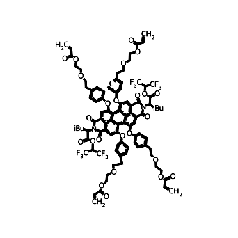 C=CC(=O)OCCOCCc1ccc(Oc2cc3c4c(cc(Oc5ccc(CCOCCOC(=O)C=C)cc5)c5c6c(Oc7ccc(CCOCCOC(=O)C=C)cc7)cc7c8c(cc(Oc9ccc(CCOCCOC(=O)C=C)cc9)c(c2c45)c86)C(=O)N(C(C(=O)OC(C(F)(F)F)C(F)(F)F)C(C)CC)C7=O)C(=O)N(C(C(=O)OC(C(F)(F)F)C(F)(F)F)C(C)CC)C3=O)cc1